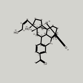 CC(=O)c1ccc2c(c1)S[C@]13CCC(=O)C=C1CC[C@@H]1C3[C@@H]2C[C@@]2(C)[C@H]1CC[C@@]2(O)/C=C\CO